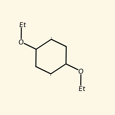 CCOC1[CH]CC(OCC)[CH]C1